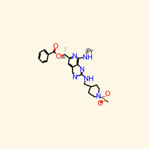 CC(C)Nc1nc([C@@H](C)OC(=O)c2ccccc2)cc2cnc(NCC3CCN(S(C)(=O)=O)CC3)nc12